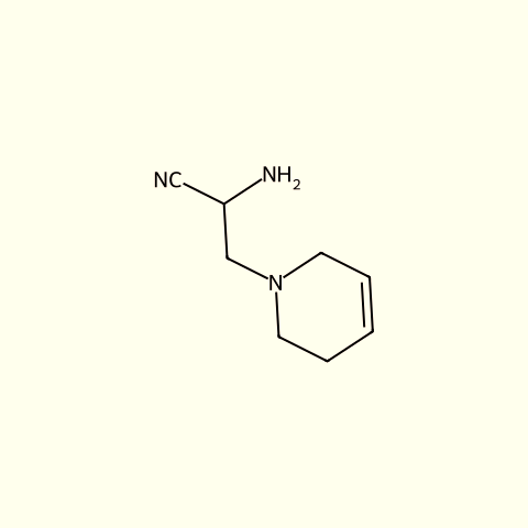 N#CC(N)CN1CC=CCC1